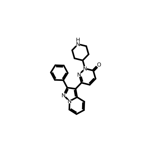 O=c1ccc(-c2c(-c3ccccc3)nn3ccccc23)nn1C1CCNCC1